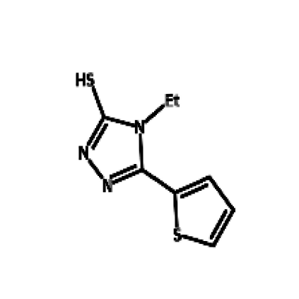 CCn1c(S)nnc1-c1cccs1